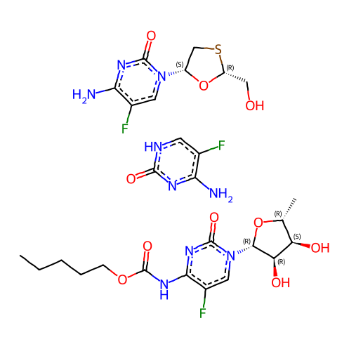 CCCCCOC(=O)Nc1nc(=O)n([C@@H]2O[C@H](C)[C@@H](O)[C@H]2O)cc1F.Nc1nc(=O)[nH]cc1F.Nc1nc(=O)n([C@@H]2CS[C@H](CO)O2)cc1F